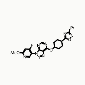 COc1cc(F)c(-n2nnc3c(OC4CCC(c5nc(C(C)C)no5)CC4)ncnc32)cn1